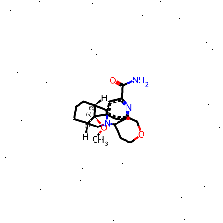 CO[C@]1(c2ccnc(C(N)=O)c2)[C@@H]2CCC[C@H]1CN(C1CCOCC1)C2